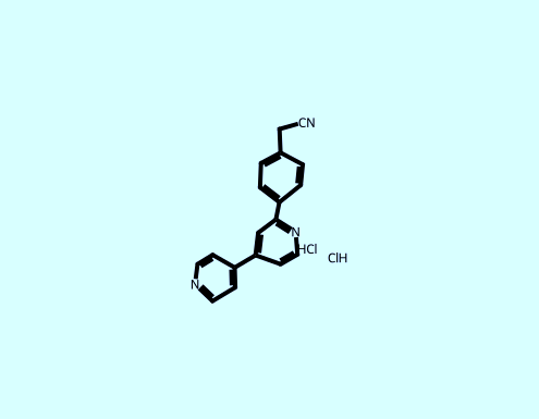 Cl.Cl.N#CCc1ccc(-c2cc(-c3ccncc3)ccn2)cc1